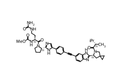 COC(=O)N[C@@H](CCNC(N)=O)C(=O)N1CCC[C@H]1c1ncc(-c2ccc(C#Cc3ccc4nc([C@@H]5CC6(CC6)CN5C(=O)[C@@H](C)C(C)C)[nH]c4c3)cc2)[nH]1